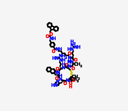 C[C@H](NC(=O)[C@H](CCCNC(=N)N)NC(=O)CCCCCNC(=O)c1ccc(CNC(=O)OCC2c3ccccc3-c3ccccc32)cc1)C(=O)NC1CSSC(C)(C)[C@@H](C(=O)O)NC(=O)[C@H](Cc2c[nH]cn2)NC(=O)[C@H](Cc2ccc3ccccc3c2)NC(=O)[C@H](CCCNC(=N)N)NC1=O